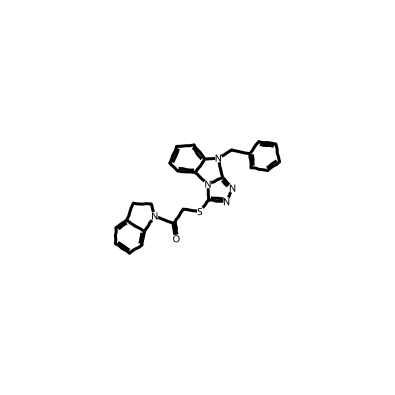 O=C(CSc1nnc2n(Cc3ccccc3)c3ccccc3n12)N1CCc2ccccc21